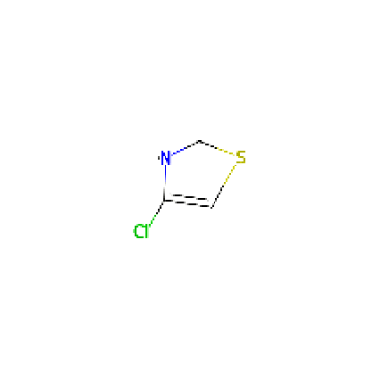 ClC1=CSC[N]1